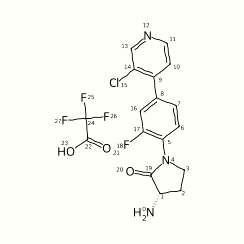 N[C@H]1CCN(c2ccc(-c3ccncc3Cl)cc2F)C1=O.O=C(O)C(F)(F)F